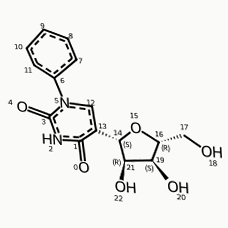 O=c1[nH]c(=O)n(-c2ccccc2)cc1[C@@H]1O[C@H](CO)[C@@H](O)[C@H]1O